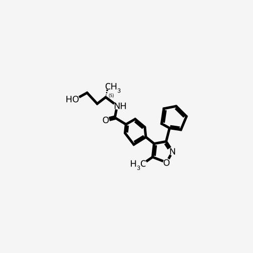 Cc1onc(-c2ccccc2)c1-c1ccc(C(=O)N[C@@H](C)CCO)cc1